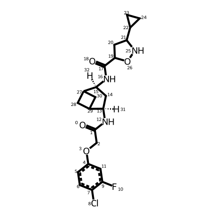 O=C(COc1ccc(Cl)c(F)c1)N[C@@H]1C[C@H](NC(=O)C2CC(C3CC3)NO2)C2CC1C2